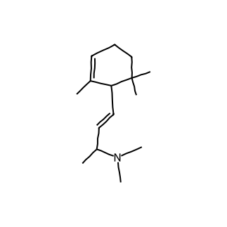 CC1=CCCC(C)(C)C1/C=C/C(C)N(C)C